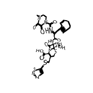 CN1CCN(C(=O)NC(C(=O)N[C@]2(NO)C(=O)N3C(C(=O)O)=C(CSc4cnns4)CS[C@H]32)c2ccccc2)C(=O)C1=O